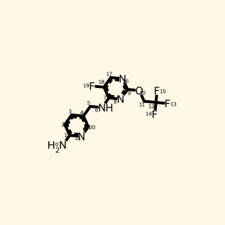 Nc1ccc(CNc2nc(OCC(F)(F)F)ncc2F)cn1